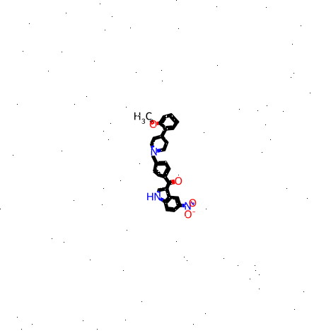 COc1ccccc1C1CCN(Cc2ccc(C(=O)C3CNc4ccc([N+](=O)[O-])cc43)cc2)CC1